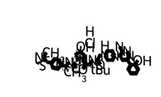 Cc1ncsc1-c1ccc([C@H](C)NC(=O)[C@@H]2C[C@@H](O)CN2C(=O)[C@@H](NC(=O)CN2CCN(c3cc(-c4ccccc4O)nnc3N)CC2)C(C)(C)C)cc1.Cl